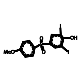 COc1ccc(S(=O)(=O)c2cc(I)c(O)c(I)c2)cc1